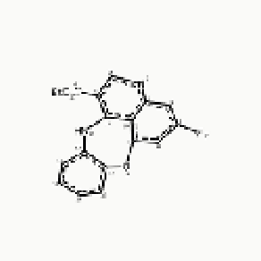 CCOC(=O)c1cnc2cc(F)cc3c2c1Nc1ccccc1O3